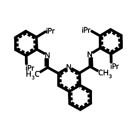 C/C(=N\c1c(C(C)C)cccc1C(C)C)c1cc2ccccc2c(/C(C)=N/c2c(C(C)C)cccc2C(C)C)n1